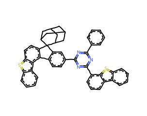 c1ccc(-c2nc(-c3ccc4c(c3)C3(c5ccc6sc7ccccc7c6c5-4)C4CC5CC(C4)CC3C5)nc(-c3cccc4c3sc3ccccc34)n2)cc1